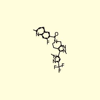 Cc1ccc2cc(C(=O)N3CCc4c(nn(C)c4-c4cc(C(F)(F)F)nn4C)C3)c(F)cc2n1